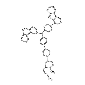 C=C/C=C\c1cc(-c2ccc(-c3ccc(N(c4ccc(-c5cccc6c5oc5ccccc56)cc4)c4ccc5ccc6ccccc6c5c4)cc3)cc2)ccc1C